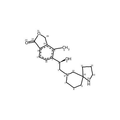 Cc1c([C@@H](O)CN2CCCC3(CCCN3)C2)ccc2c1COC2=O